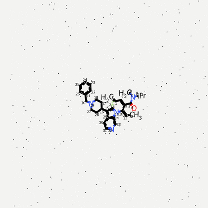 C=C(F)/C=C(C(=O)N(C)C(C)C)\C(=C/C)n1cc(C2CCN(Cc3ccccc3)CC2)c2ccncc21